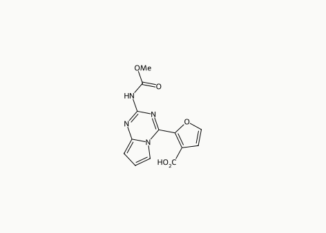 COC(=O)Nc1nc(-c2occc2C(=O)O)n2cccc2n1